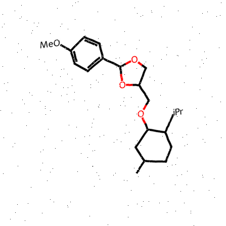 COc1ccc(C2OCC(COC3CC(C)CCC3C(C)C)O2)cc1